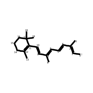 [CH]C=C(C)C=CC=C(C)C=CC1=C(C)CCCC1(C)C